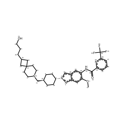 COc1cc2nn([C@H]3CC[C@H](CN4CCC5(CC4)CC(CCCO)C5)CC3)cc2cc1NC(=O)c1cccc(C(F)(F)F)n1